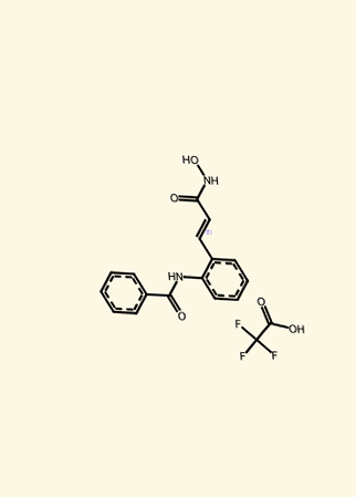 O=C(/C=C/c1ccccc1NC(=O)c1ccccc1)NO.O=C(O)C(F)(F)F